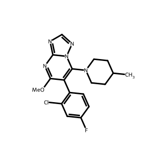 COc1nc2ncnn2c(N2CCC(C)CC2)c1-c1ccc(F)cc1Cl